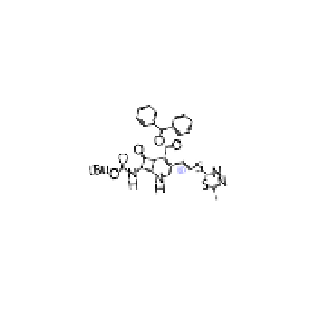 Cc1nnc(S/C=C/C2=C(C(=O)OC(c3ccccc3)c3ccccc3)C3C(=O)C(NC(=O)OC(C)(C)C)C3NC2)s1